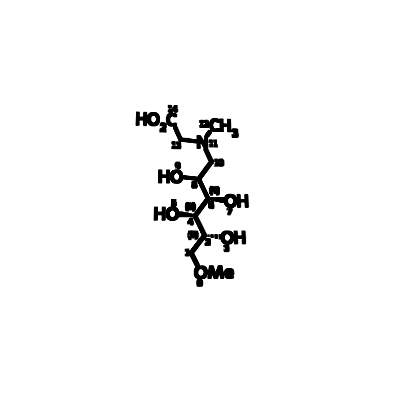 COC[C@@H](O)[C@@H](O)[C@H](O)C(O)CN(C)CC(=O)O